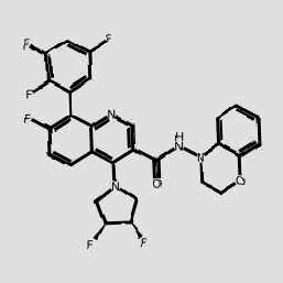 O=C(NN1CCOc2ccccc21)c1cnc2c(-c3cc(F)cc(F)c3F)c(F)ccc2c1N1C[C@@H](F)[C@@H](F)C1